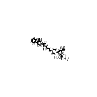 CC(C)(C)c1nc(N2CCN(CCCCNC(=O)N3CCc4c([nH]c5ccccc45)C3)CC2)cc(C(F)(F)F)n1